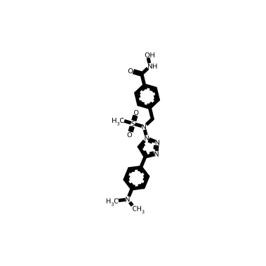 CN(C)c1ccc(-c2cn(N(Cc3ccc(C(=O)NO)cc3)S(C)(=O)=O)nn2)cc1